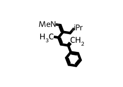 C=C(/C=C(C)\C(=C/NC)CC(C)C)c1ccccc1